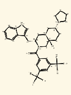 O=C(c1cc(C(F)(F)F)cc(C(F)(F)F)c1)N1C[C@H]2CC[C@@H](N3CCCC3)CN2C[C@H]1Cc1c[nH]c2ccccc12